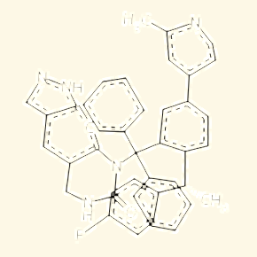 Cc1cc(-c2ccc([C@H](C)c3ccc(F)cc3)c(C(c3ccccc3)(c3ccccc3)N3C(=O)NCc4cc5cn[nH]c5cc43)c2)ccn1